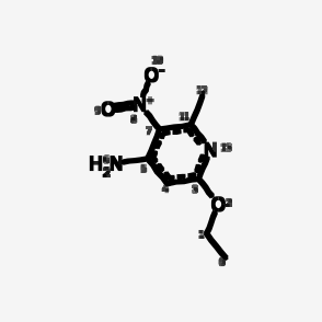 CCOc1cc(N)c([N+](=O)[O-])c(C)n1